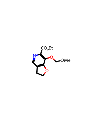 CCOC(=O)c1ncc2c(c1OCOC)OCC2